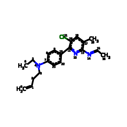 C=CCCN(CC)c1ccc(-c2nc(/N=C/C)c(C)cc2Cl)cc1